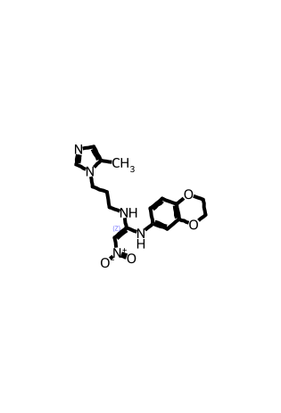 Cc1cncn1CCCN/C(=C/[N+](=O)[O-])Nc1ccc2c(c1)OCCO2